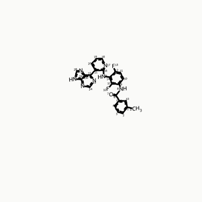 Cc1cccc(C(=O)Nc2ccc(F)c(Nc3ncccc3-c3ncnc4[nH]cnc34)c2F)c1